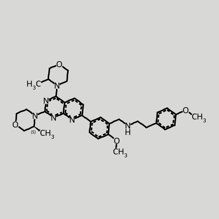 COc1ccc(CCNCc2cc(-c3ccc4c(N5CCOCC5C)nc(N5CCOC[C@@H]5C)nc4n3)ccc2OC)cc1